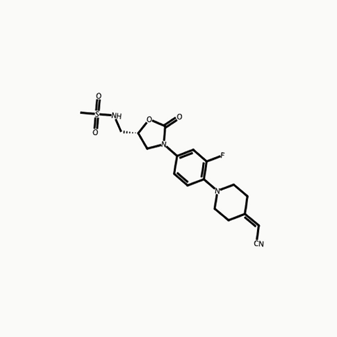 CS(=O)(=O)NC[C@H]1CN(c2ccc(N3CCC(=CC#N)CC3)c(F)c2)C(=O)O1